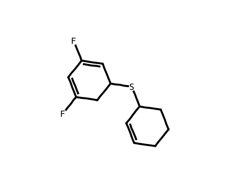 FC1=CC(SC2C=CCCC2)CC(F)=C1